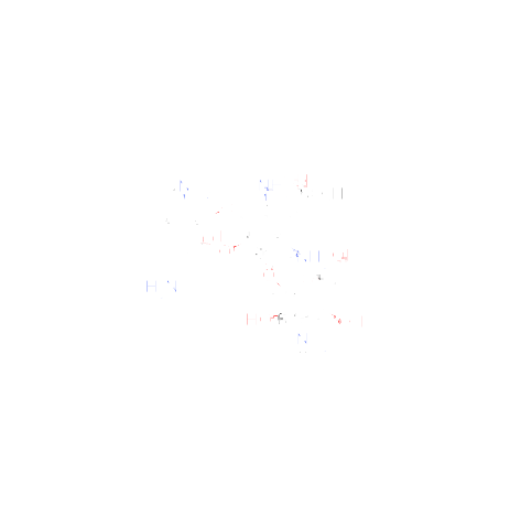 NC[C@@H]1CC[C@@H](N)[C@@H](O[C@H]2[C@H](O)[C@@H](O[C@H]3O[C@H](CO)[C@@H](O)[C@H](N)[C@H]3O)[C@H](N)C[C@@H]2N)O1.O=S(=O)(O)O